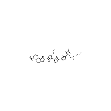 CCCCCCC(C)Cc1cc(C)sc1-c1ccc(-c2ccc(-c3sc(-c4cc5ccc6c(ccc7cc(C)sc76)c5s4)cc3CC(C)C)s2)s1